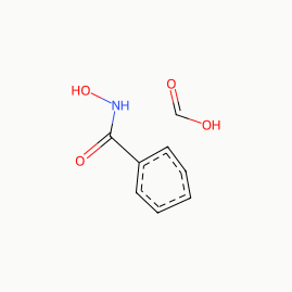 O=C(NO)c1ccccc1.O=CO